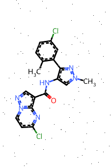 Cc1ccc(Cl)cc1-c1nn(C)cc1NC(=O)c1cnn2ccc(Cl)nc12